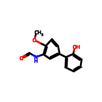 COc1ccc(-c2cc[c]cc2O)cc1NC=O